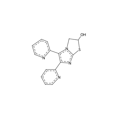 OC1Cn2c(nc(-c3ccccn3)c2-c2ccccn2)S1